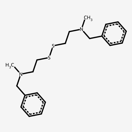 CN(CCSSCCN(C)Cc1ccccc1)Cc1ccccc1